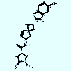 CN1C[C@H](C(=O)N[C@H]2C#C[C@]3(C2)C[C@@H](c2nc4cc(Cl)ccc4o2)C3)CC1=O